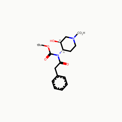 CC(C)(C)OC(=O)N(C(=O)Cc1ccccc1)[C@H]1CCN(C(=O)O)C[C@@H]1O